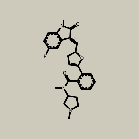 CN1CCC(N(C)C(=O)c2ccccc2C2=CCC(/C=C3/C(=O)Nc4ccc(F)cc43)O2)C1